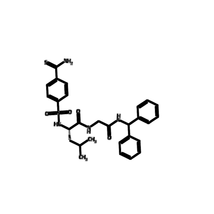 CC(C)C[C@H](NS(=O)(=O)c1ccc(C(N)=S)cc1)C(=O)NCC(=O)NC(c1ccccc1)c1ccccc1